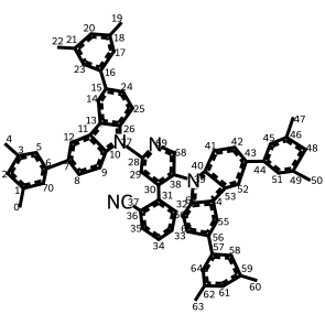 Cc1cc(C)cc(-c2ccc3c(c2)c2cc(-c4cc(C)cc(C)c4)ccc2n3-c2cc(-c3ccccc3C#N)c(-n3c4ccc(-c5cc(C)cc(C)c5)cc4c4cc(-c5cc(C)cc(C)c5)ccc43)cn2)c1